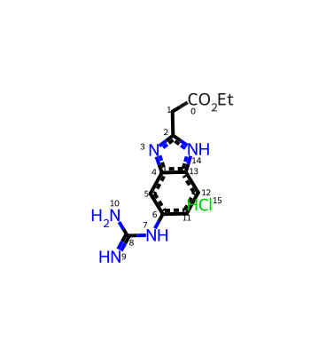 CCOC(=O)Cc1nc2cc(NC(=N)N)ccc2[nH]1.Cl